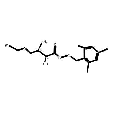 Cc1cc(C)c(CONC(=O)[C@@H](O)[C@H](N)CSCC(C)C)c(C)c1